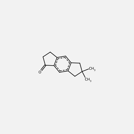 CC1(C)Cc2cc3c(cc2C1)C(=O)CC3